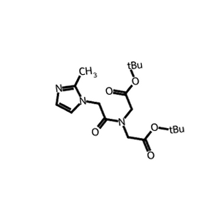 Cc1nccn1CC(=O)N(CC(=O)OC(C)(C)C)CC(=O)OC(C)(C)C